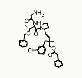 C[C@H](N)C(=O)N[C@H](C(=O)N1CCC[C@H]1/C=C/[C@](C)(COC(=O)Cc1ccccc1)Cc1cccc(Cl)c1)[C@@H](C)OCc1ccccc1